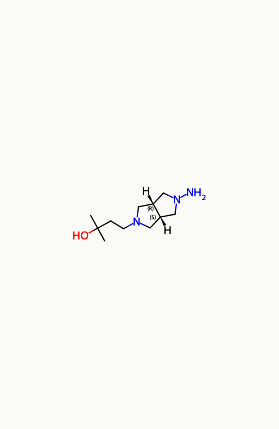 CC(C)(O)CCN1C[C@H]2CN(N)C[C@H]2C1